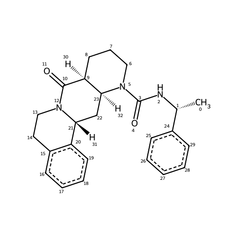 C[C@@H](NC(=O)N1CCC[C@@H]2C(=O)N3CCc4ccccc4[C@H]3C[C@@H]21)c1ccccc1